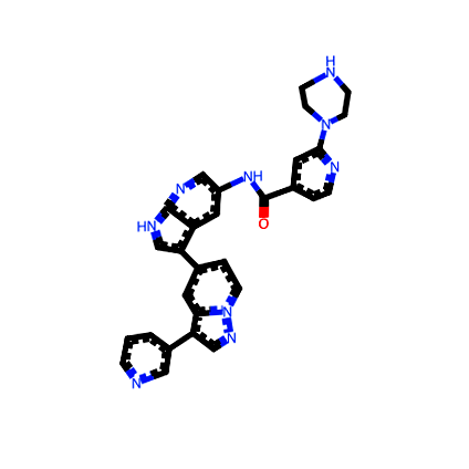 O=C(Nc1cnc2[nH]cc(-c3ccn4ncc(-c5cccnc5)c4c3)c2c1)c1ccnc(N2CCNCC2)c1